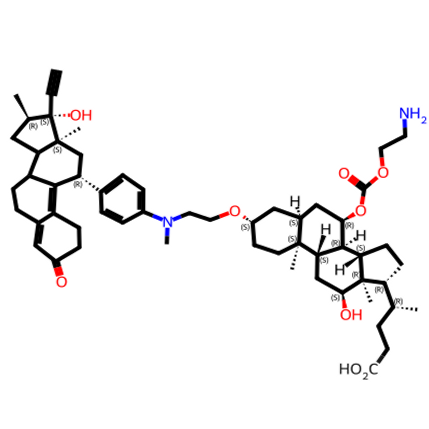 C#C[C@]1(O)[C@H](C)CC2C3CCC4=CC(=O)CCC4=C3[C@@H](c3ccc(N(C)CCO[C@H]4CC[C@@]5(C)[C@@H](C4)C[C@@H](OC(=O)OCCN)[C@@H]4[C@@H]5C[C@H](O)[C@]5(C)[C@@H]([C@H](C)CCC(=O)O)CC[C@@H]45)cc3)C[C@@]21C